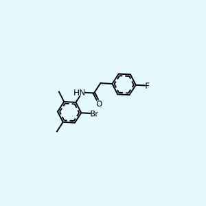 Cc1cc(C)c(NC(=O)Cc2ccc(F)cc2)c(Br)c1